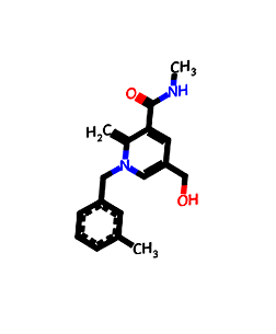 C=C1C(C(=O)NC)=CC(CO)=CN1Cc1cccc(C)c1